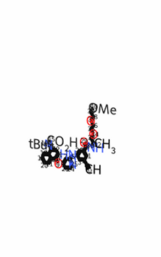 C#Cc1cc(Nc2cc(Oc3ccc(N(C(=O)O)C(C)(C)C)c4ccccc34)ccn2)cc(C(=O)N[C@@H](C)COCCOCCOC)c1